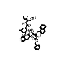 CC[C@H](C)[C@@H](CO)NC(=O)C[C@H](O)[C@H](CC(C)C)NC(=O)C(Cc1ccncc1)NC(=O)[C@H](Cc1cccc2ccccc12)NC(=O)OCc1ccccc1